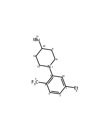 CCc1ccc(C(F)(F)F)c(N2CCC(C(C)(C)C)CC2)c1